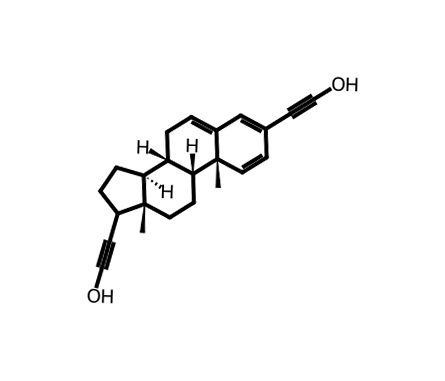 C[C@]12C=CC(C#CO)=CC1=CC[C@@H]1[C@H]2CC[C@]2(C)C(C#CO)CC[C@@H]12